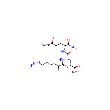 CNC(=O)CCC(NC(=O)C(CCC(=O)NC)NC(=O)C(C)CCCCN=[N+]=[N-])C(N)=O